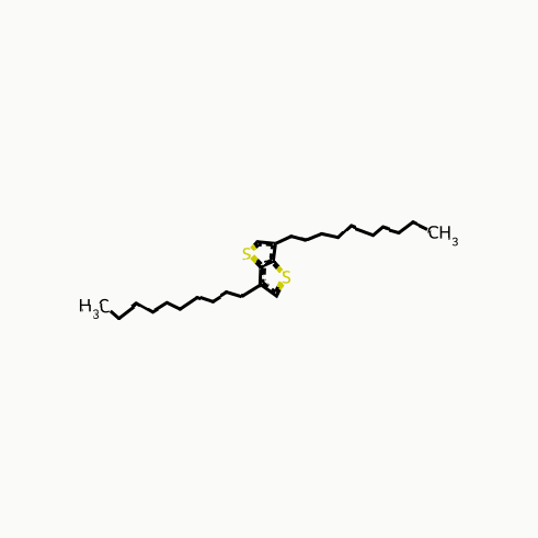 CCCCCCCCCCc1csc2c(CCCCCCCCCC)csc12